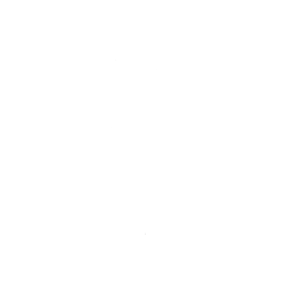 CCOc1ccc(Cc2cc(-c3ccc(Cl)c(Cc4cccc(OCC)c4)c3)ccc2Cl)cc1